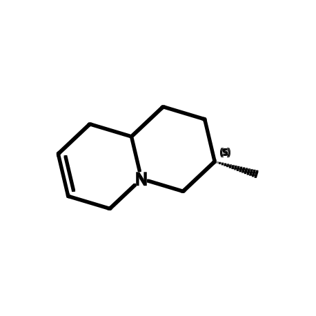 C[C@H]1CCC2CC=CCN2C1